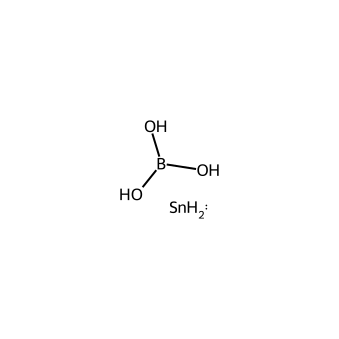 OB(O)O.[SnH2]